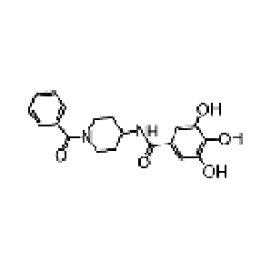 O=C(NC1CCN(C(=O)c2ccccc2)CC1)c1cc(O)c(O)c(O)c1